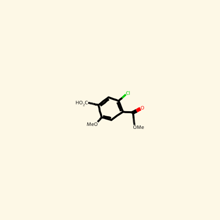 COC(=O)c1cc(OC)c(C(=O)O)cc1Cl